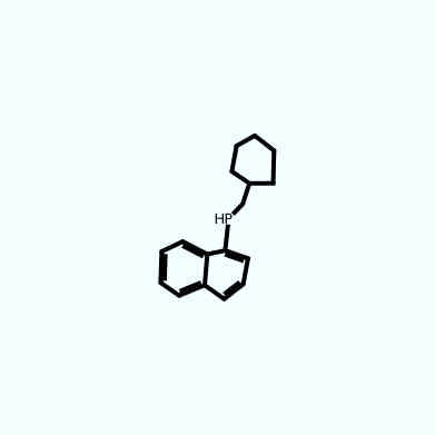 c1ccc2c(PCC3CCCCC3)cccc2c1